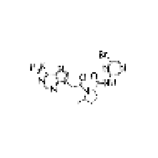 C[C@@H]1CC[C@@H](C(=O)Nc2cncc(Br)n2)N1C(=O)Cn1cnc2c(N)ncnc21